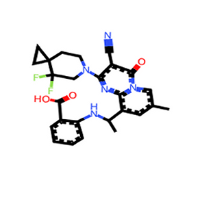 Cc1cc(C(C)Nc2ccccc2C(=O)O)c2nc(N3CCC4(CC4)C(F)(F)C3)c(C#N)c(=O)n2c1